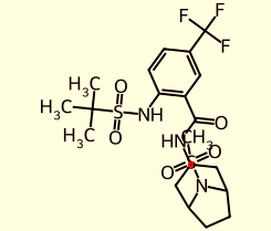 CC(C)(C)S(=O)(=O)Nc1ccc(C(F)(F)F)cc1C(=O)NC1CC2CCC(C1)N2S(C)(=O)=O